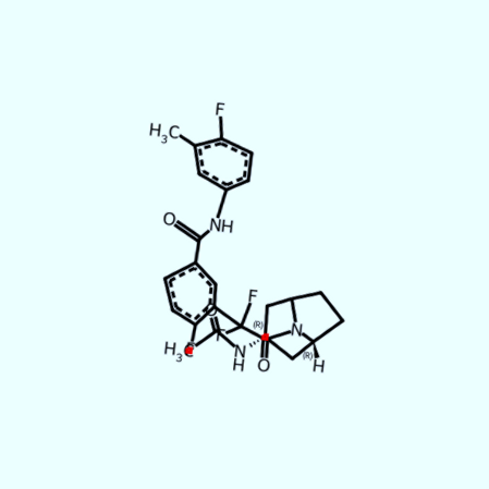 CC(=O)N[C@@H]1CC2CC[C@H](C1)N2C(=O)C(F)(F)c1cc(C(=O)Nc2ccc(F)c(C)c2)ccc1F